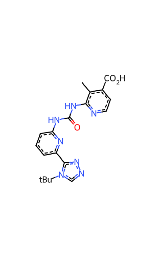 Cc1c(C(=O)O)ccnc1NC(=O)Nc1cccc(-c2nncn2C(C)(C)C)n1